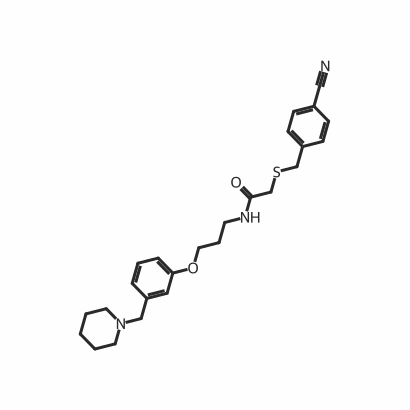 N#Cc1ccc(CSCC(=O)NCCCOc2cccc(CN3CCCCC3)c2)cc1